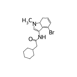 CN1C=C(NC(=O)CC2CCCCC2)C2=C(Br)C=CCC21